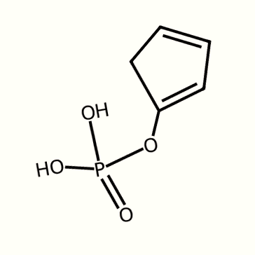 O=P(O)(O)OC1=CC=CC1